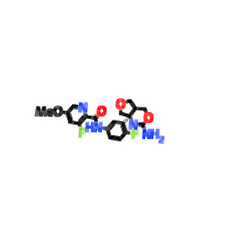 COc1cnc(C(=O)Nc2ccc(F)c([C@]34COCC3COC(N)=N4)c2)c(F)c1